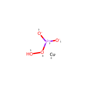 [Cu].[O-][I+2]([O-])OO